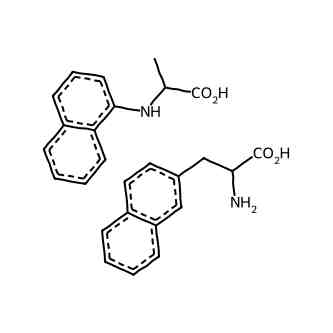 CC(Nc1cccc2ccccc12)C(=O)O.NC(Cc1ccc2ccccc2c1)C(=O)O